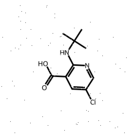 CC(C)(C)Nc1ncc(Cl)cc1C(=O)O